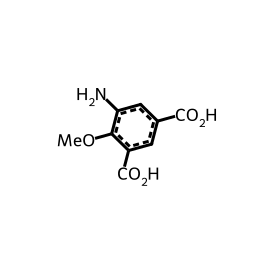 COc1c(N)cc(C(=O)O)cc1C(=O)O